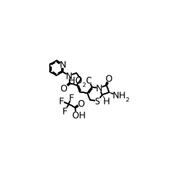 N[C@@H]1C(=O)N2C(C(=O)O)=C(C=C3CCN(c4ccccn4)C3=O)CS[C@H]12.O=C(O)C(F)(F)F